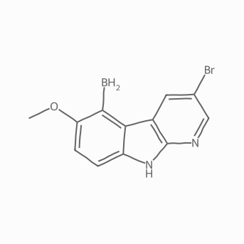 Bc1c(OC)ccc2[nH]c3ncc(Br)cc3c12